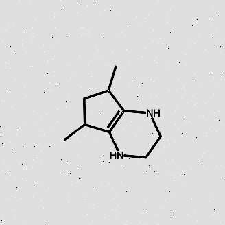 CC1CC(C)C2=C1NCCN2